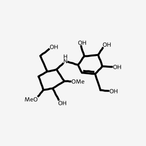 COC1CC(CO)C(NC2C=C(CO)C(O)C(O)C2O)C(OC)C1O